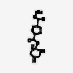 CCCCOC(=O)c1ccc(C(=O)OC2NCNCN2)cc1